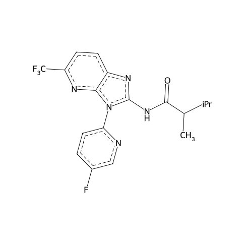 CC(C)C(C)C(=O)Nc1nc2ccc(C(F)(F)F)nc2n1-c1ccc(F)cn1